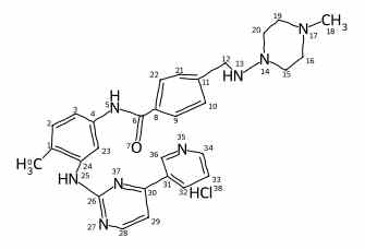 Cc1ccc(NC(=O)c2ccc(CNN3CCN(C)CC3)cc2)cc1Nc1nccc(-c2cccnc2)n1.Cl